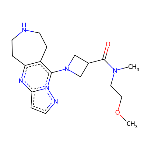 COCCN(C)C(=O)C1CN(c2c3c(nc4ccnn24)CCNCC3)C1